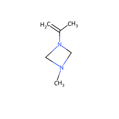 C=C(C)N1CN(C)C1